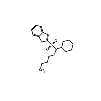 CCCCSN(C1CCCCC1)S(=O)(=O)c1nc2ccccc2s1